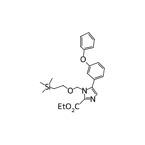 CCOC(=O)c1ncc(-c2cccc(Oc3ccccc3)c2)n1COCC[Si](C)(C)C